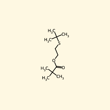 CC(C)(C)SCCOC(=O)C(C)(C)C